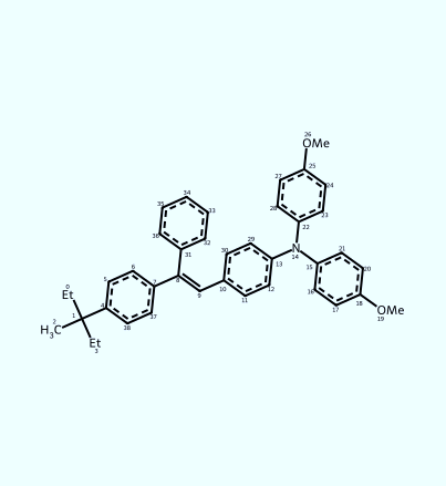 CCC(C)(CC)c1ccc(/C(=C/c2ccc(N(c3ccc(OC)cc3)c3ccc(OC)cc3)cc2)c2ccccc2)cc1